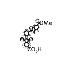 COC(=O)c1ccc2nc(-c3cccc(N4C(=O)c5ccc(C(=O)O)cc5C4=O)c3)oc2c1